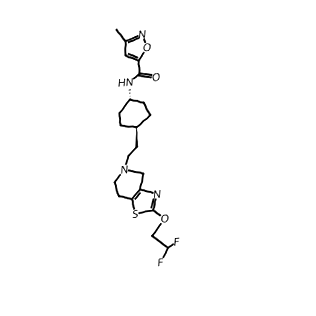 Cc1cc(C(=O)N[C@H]2CC[C@H](CCN3CCc4sc(OCC(F)F)nc4C3)CC2)on1